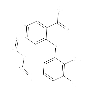 Cc1c(Cl)cccc1Nc1ccccc1C(=O)O.O=[As]O[As]=O